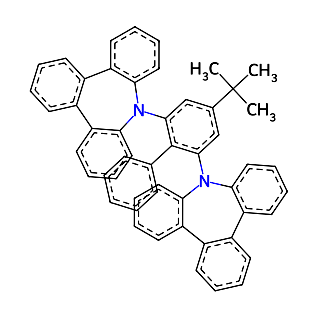 CC(C)(C)c1cc(N2c3ccccc3-c3ccccc3-c3ccccc32)c(-c2ccccc2)c(N2c3ccccc3-c3ccccc3-c3ccccc32)c1